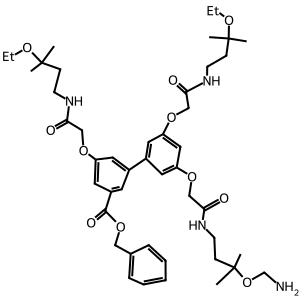 CCOC(C)(C)CCNC(=O)COc1cc(OCC(=O)NCCC(C)(C)OCN)cc(-c2cc(OCC(=O)NCCC(C)(C)OCC)cc(C(=O)OCc3ccccc3)c2)c1